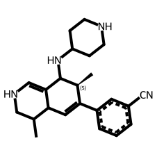 CC1CNC=C2C1C=C(c1cccc(C#N)c1)[C@H](C)C2NC1CCNCC1